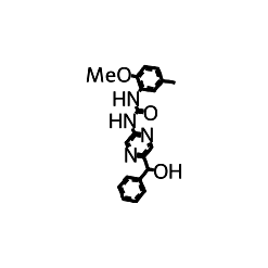 COc1ccc(C)cc1NC(=O)Nc1cnc(C(O)c2ccccc2)cn1